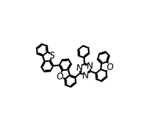 C1=CC2Oc3ccccc3C2C(c2nc(C3=CCCC=C3)nc(-c3cccc4oc5c(-c6cccc7c6sc6ccccc67)cccc5c34)n2)=C1